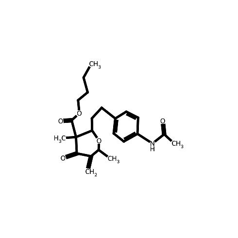 C=C1C(=O)C(C)(C(=O)OCCCC)C(CCc2ccc(NC(C)=O)cc2)OC1C